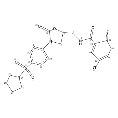 O=C(NCC1CN(c2ccc(S(=O)(=O)N3CCCC3)cc2)C(=O)O1)C1=CC(Cl)=CCC1=S